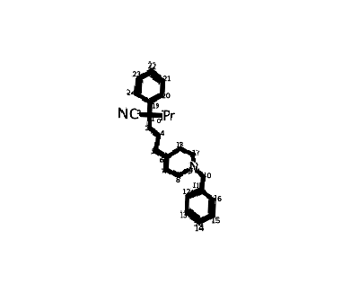 CC(C)C(C#N)(CCCC1CCN(Cc2ccccc2)CC1)c1ccccc1